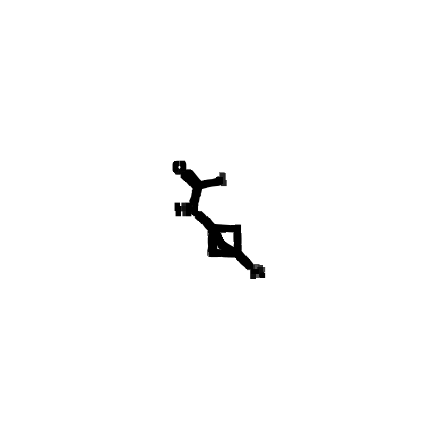 CCC12CC(NC(=O)I)(C1)C2